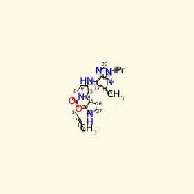 CC#CCOC(=O)N1CCC(Nc2cc(C)nc3c2ncn3C(C)C)CC1C1CCNC1